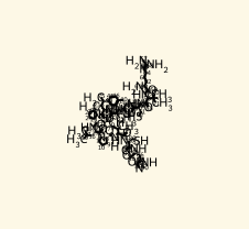 CC[C@H](C)[C@H](NC(=O)[C@@H]1CCCN1C(=O)[C@H](CC(C)C)NC(=O)[C@@H]1CCCN1C(=O)[C@@H](NC(=O)[C@H](C)NC(=O)[C@H](Cc1ccccc1)NC(=O)[C@H](CS)NC(=O)[C@@H](NC(=O)[C@@H](N)CCCN=C(N)N)C(C)C)[C@@H](C)CC)C(=O)N[C@@H](CS)C(=O)N[C@@H](Cc1cnc[nH]1)C(=O)O